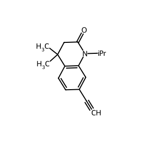 C#Cc1ccc2c(c1)N(C(C)C)C(=O)CC2(C)C